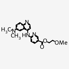 COCCOC(=O)c1ccc(Nc2ccnc3ccc(N(C)C)cc23)nc1